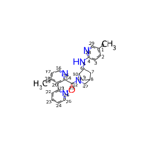 Cc1ccc(NC2CC3CC2N(C(=O)c2nccc(C)c2-c2ccccn2)C3)nc1